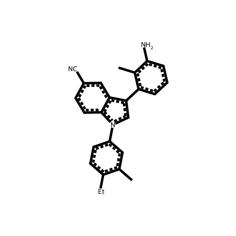 CCc1ccc(-n2cc(-c3cccc(N)c3C)c3cc(C#N)ccc32)cc1C